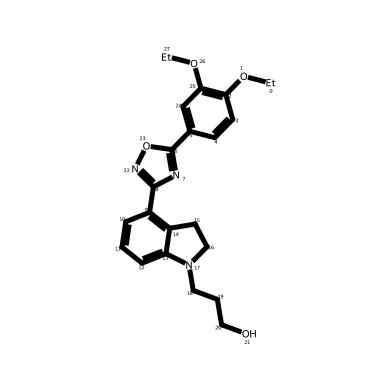 CCOc1ccc(-c2nc(-c3cccc4c3CCN4CCCO)no2)cc1OCC